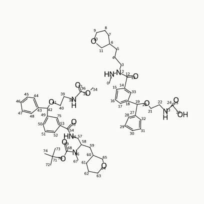 CNN(CCCC1CCCOC1)C(=O)c1cccc(C(OCCNC(=O)O)c2ccccc2)c1.COC(=O)NCCOC(c1ccccc1)c1cccc(C(=O)NCC(CC2CCCOC2)N(C)C(=O)OC(C)(C)C)c1